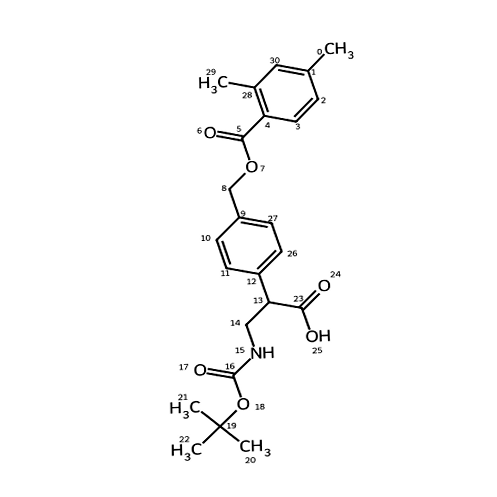 Cc1ccc(C(=O)OCc2ccc(C(CNC(=O)OC(C)(C)C)C(=O)O)cc2)c(C)c1